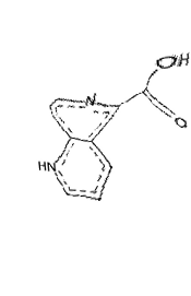 O=C(O)c1ncc2[nH]cccc1-2